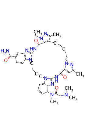 CCn1nc(C)c2c1C(=O)Nc1nc3cc(C(N)=O)ccc3n1CCCCn1c(nc3c(N(C)C(=O)CN(C)C)cccc31)NC(=O)c1cc(C)nn1CCCCC2